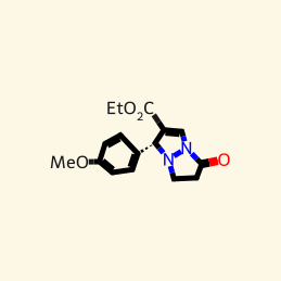 CCOC(=O)C1=CN2C(=O)CCN2[C@@H]1c1ccc(OC)cc1